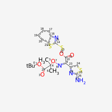 CC(C)(C)OC(=O)C(C)(C)ON=C(C(=O)OSc1nc2ccccc2s1)c1csc(N)n1